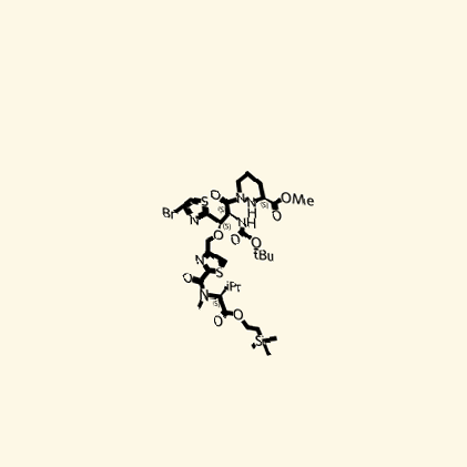 COC(=O)[C@@H]1CCCN(C(=O)[C@@H](NC(=O)OC(C)(C)C)[C@H](OCc2csc(C(=O)N(C)[C@H](C(=O)OCC[Si](C)(C)C)C(C)C)n2)c2nc(Br)cs2)N1